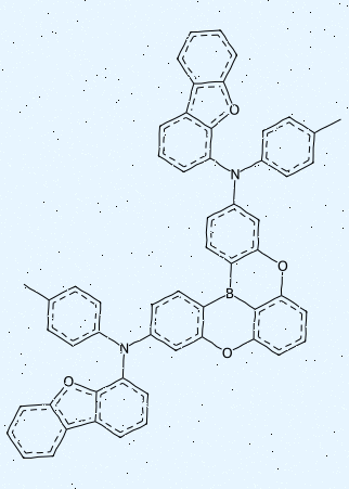 Cc1ccc(N(c2ccc3c(c2)Oc2cccc4c2B3c2ccc(N(c3ccc(C)cc3)c3cccc5c3oc3ccccc35)cc2O4)c2cccc3c2oc2ccccc23)cc1